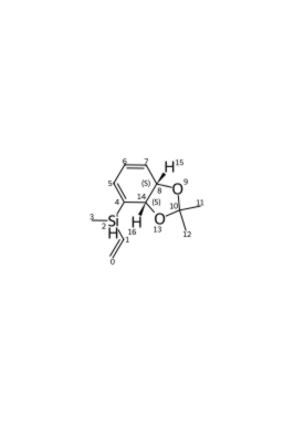 C=C[SiH](C)C1=CC=C[C@@H]2OC(C)(C)O[C@H]12